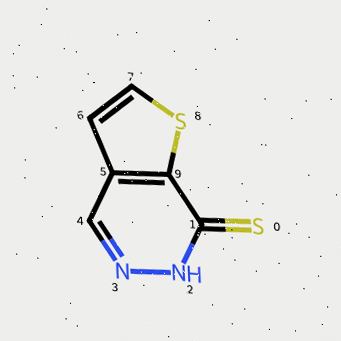 S=c1[nH]ncc2ccsc12